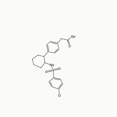 O=C(O)Cc1ccc(C2CCCCC2NS(=O)(=O)c2ccc(Cl)cc2)cc1